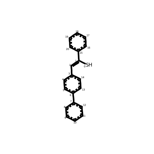 SC(=Cc1ccc(-c2ccccc2)cc1)c1ccccc1